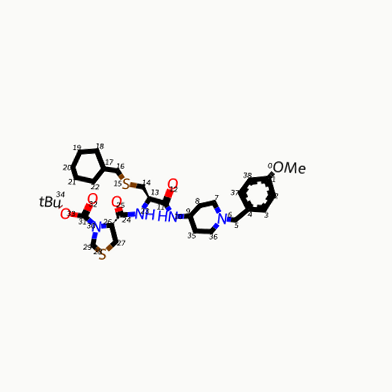 COc1ccc(CN2CCC(NC(=O)[C@H](CSCC3CCCCC3)NC(=O)[C@@H]3CSCN3C(=O)OC(C)(C)C)CC2)cc1